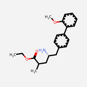 CCOC(=O)C(C)C[C@H](N)Cc1ccc(-c2ccccc2OC)cc1